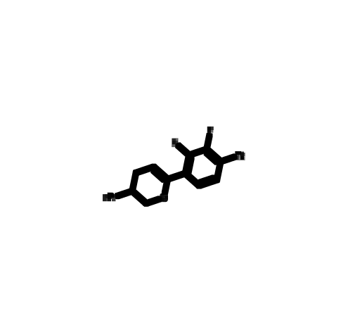 CCCC1CC=C(c2ccc(CC)c(F)c2F)OC1